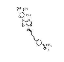 CN(C)c1ccc(/C=C/C=NNc2ncnc3c2ncn3[C@@H]2O[C@H](CO)[C@@H](O)[C@H]2O)cc1